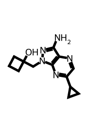 Nc1nn(CC2(O)CCC2)c2nc(C3CC3)cnc12